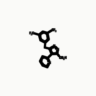 O=C(O)c1nnn(Cc2cc(C(F)(F)F)cc(C(F)(F)F)c2)c1-c1ccccn1